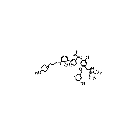 Cc1c(OCCCN2CCC(O)CC2)cccc1-c1cccc2c1C[C@@H](F)[C@@H]2Oc1cc(OCc2cncc(C#N)c2)c(CN[C@@H](CO)C(=O)O)cc1Cl